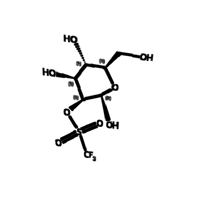 O=S(=O)(O[C@H]1[C@@H](O)[C@H](O)[C@@H](CO)O[C@H]1O)C(F)(F)F